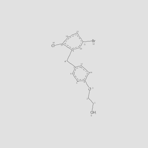 OCCOc1ccc(Cc2cc(Br)ccc2Cl)cc1